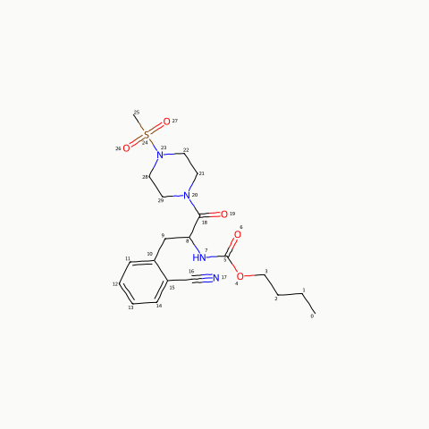 CCCCOC(=O)NC(Cc1ccccc1C#N)C(=O)N1CCN(S(C)(=O)=O)CC1